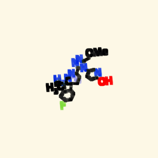 C=C(/C=C\C(=N/N)c1nnc(COC)n1-c1ccc(O)nc1)c1ccc(F)cc1C